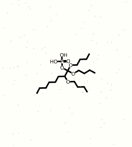 CCCCCCC(OCCCC)C(OCCCC)(OCCCC)OP(=O)(O)O